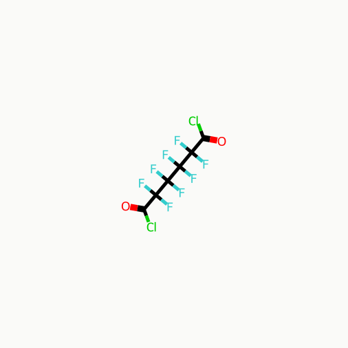 O=C(Cl)C(F)(F)C(F)(F)C(F)(F)C(F)(F)C(=O)Cl